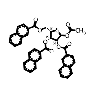 CC(=O)OC1S[C@@H](COC(=O)c2ccc3ccccc3c2)[C@@H](OC(=O)c2ccc3ccccc3c2)[C@@H]1OC(=O)c1ccc2ccccc2c1